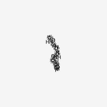 O=C(NC1CCN(c2ccc(CN3CCC(NC(=O)c4cccc(-c5ccc(OC(F)(F)F)nc5)c4Cl)CC3)cn2)CC1)c1ccccc1